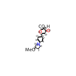 COC1CCN(c2ccc(-c3cc(=O)c(C(=O)O)co3)cc2)C1